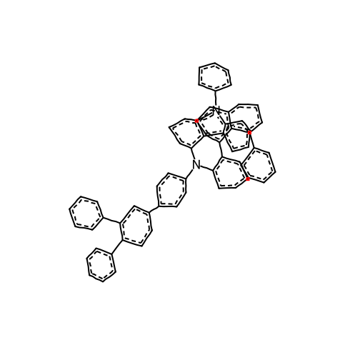 c1ccc(-c2ccc(-c3ccc(N(c4ccccc4-c4cccc5cccc(-c6ccccc6)c45)c4cccc5c4c4ccccc4n5-c4ccccc4)cc3)cc2-c2ccccc2)cc1